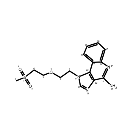 CS(=O)(=O)CCOCCn1cnc2c(N)nc3ccccc3c21